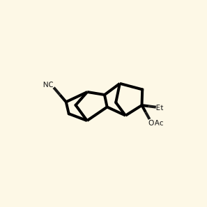 CCC1(OC(C)=O)CC2CC1C1C3CC(C#N)C(C3)C21